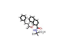 CCC(C)(NC(=O)c1ccc2ccccc2c1OC(C)CCc1ccccc1)C(=O)O